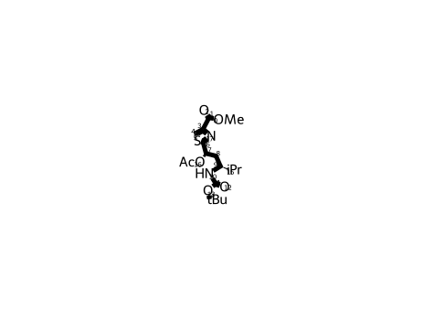 COC(=O)c1csc([C@@H](C[C@@H](NC(=O)OC(C)(C)C)C(C)C)OC(C)=O)n1